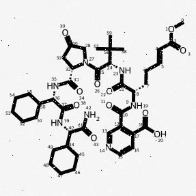 COC(=O)/C=C/CC[C@H](NC(=O)c1cnccc1C(=O)O)C(=O)N[C@H](C(=O)N1CC(=O)C[C@H]1C(=O)N[C@H](C(=O)N[C@H](C(N)=O)C1CCCCC1)C1CCCCC1)C(C)(C)C